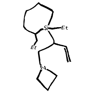 C=CC(CN1CCC1)[Si]1(CC)CCCCC1CC